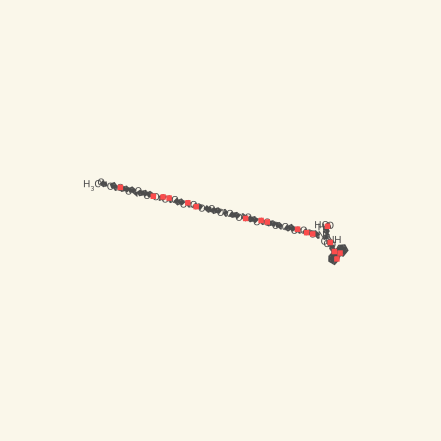 COCCOCCOCCOCCOCCOCCOCCOCCOCCOCCOCCOCCOCCOCCOCCOCCOCCOCCOCCOCCOCCOCCOCCOCCNC(=O)[C@H](CCC(=O)O)NC(=O)OCC1c2ccccc2-c2ccccc21